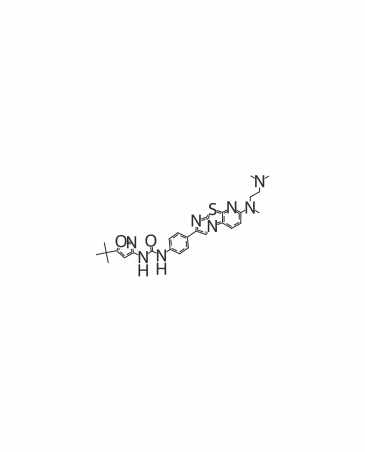 CN(C)CCN(C)c1ccc2c(n1)sc1nc(-c3ccc(NC(=O)Nc4cc(C(C)(C)C)on4)cc3)cn12